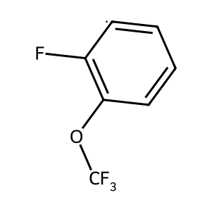 Fc1[c]cccc1OC(F)(F)F